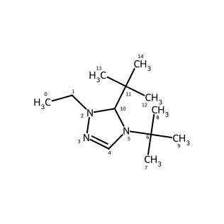 CCN1N=CN(C(C)(C)C)C1C(C)(C)C